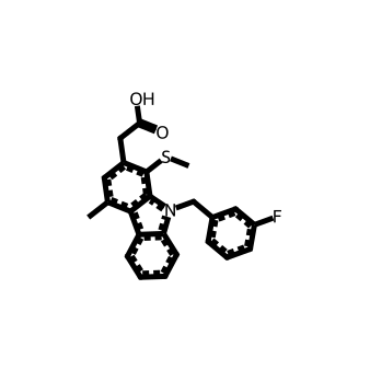 CSc1c(CC(=O)O)cc(C)c2c3ccccc3n(Cc3cccc(F)c3)c12